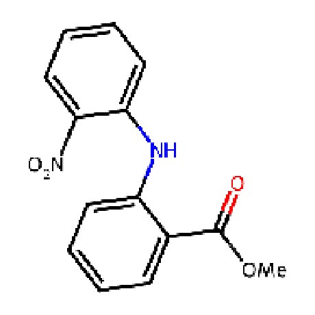 COC(=O)c1ccccc1Nc1ccccc1[N+](=O)[O-]